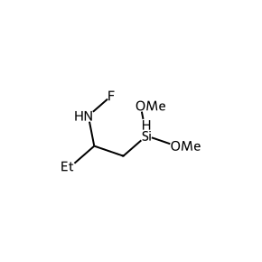 CCC(C[SiH](OC)OC)NF